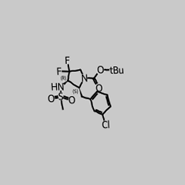 CC(C)(C)OC(=O)N1CC(F)(F)[C@H](NS(C)(=O)=O)[C@@H]1Cc1cccc(Cl)c1